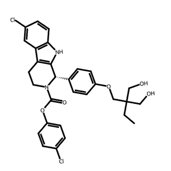 CCC(CO)(CO)COc1ccc([C@H]2c3[nH]c4ccc(Cl)cc4c3CCN2C(=O)Oc2ccc(Cl)cc2)cc1